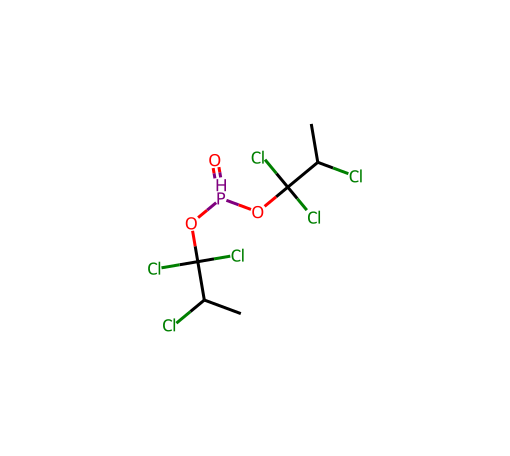 CC(Cl)C(Cl)(Cl)O[PH](=O)OC(Cl)(Cl)C(C)Cl